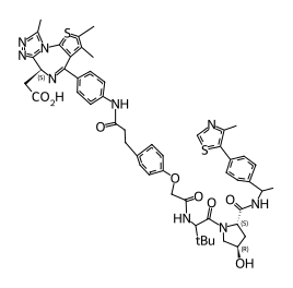 Cc1ncsc1-c1ccc(C(C)NC(=O)[C@@H]2C[C@@H](O)CN2C(=O)C(NC(=O)COc2ccc(CCC(=O)Nc3ccc(C4=N[C@@H](CC(=O)O)c5nnc(C)n5-c5sc(C)c(C)c54)cc3)cc2)C(C)(C)C)cc1